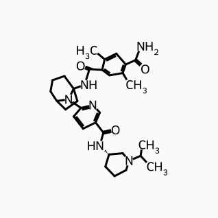 Cc1cc(C(=O)NC23CCCC(CC2)N3c2ccc(C(=O)N[C@H]3CCCN(C(C)C)C3)cn2)c(C)cc1C(N)=O